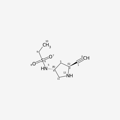 C#C[C@@H]1C[C@@H](NS(=O)(=O)CC)CN1